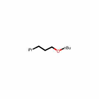 [CH2]C(C)CCCOCCCC